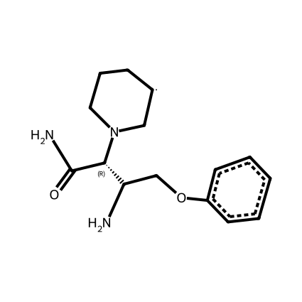 NC(=O)[C@@H](C(N)COc1ccccc1)N1C[CH]CCC1